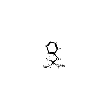 COC(C#N)(OC)Oc1ccccc1